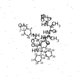 CC(=O)OCc1ccc(NC(=O)[C@H](CC(=O)NC(c2ccccc2)(c2ccccc2)c2ccccc2)NC(=O)[C@H](C)NC(=O)[C@H](C)NC(=O)OC(C)(C)C)cc1